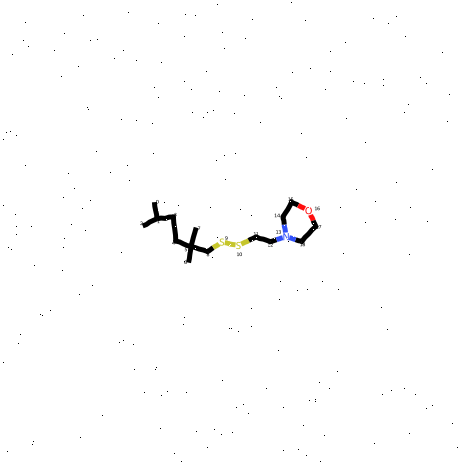 CC(C)CCC(C)(C)CSSCCN1CCOCC1